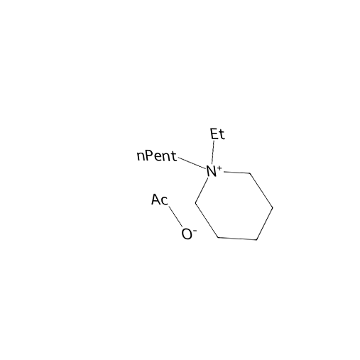 CC(=O)[O-].CCCCC[N+]1(CC)CCCCC1